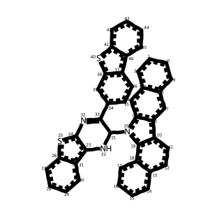 c1ccc2cc3c(cc2c1)c1ccc2ccccc2c1n3C1Nc2c(sc3ccccc23)N=C1c1ccc2c(c1)sc1ccccc12